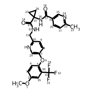 COc1ccc(Oc2ccc(CNC(=O)C3(NC(=O)c4ccc(C)nc4)CC3)nc2)c(C(F)(F)F)c1